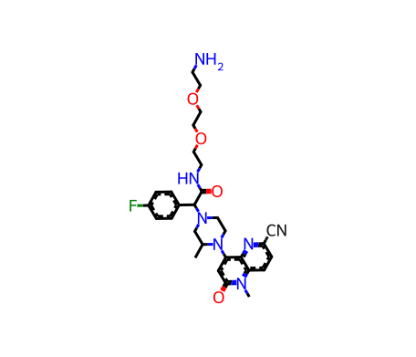 CC1CN(C(C(=O)NCCOCCOCCN)c2ccc(F)cc2)CCN1c1cc(=O)n(C)c2ccc(C#N)nc12